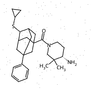 CC1(C)CN(C(=O)C23CC4CC(c5ccccc5)(CC(C2)C4SC2CC2)C3)CC[C@@H]1N